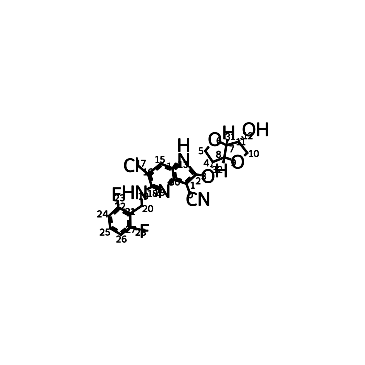 N#Cc1c(O[C@@H]2CO[C@H]3[C@@H]2OC[C@H]3O)[nH]c2cc(Cl)c(NCc3c(F)cccc3F)nc12